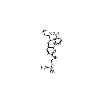 CC(C)C[C@H](C(=O)O)[C@H](Cc1ccc(NCCC(N)C(F)(F)F)nc1)c1nnn[nH]1